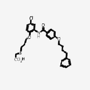 O=C(O)CSCCCOc1ccc(Cl)cc1NC(=O)c1ccc(OCCCCc2ccccc2)cc1